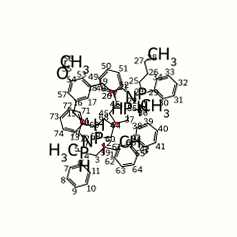 CCCC[PH](C)(c1ccccc1)N(CCCc1cc(CCCN([PH](C)(CCCC)c2ccccc2)[PH]2(I)[C@H](c3ccccc3)CC[C@H]2c2ccccc2)cc(OC)c1)[PH]1(I)[C@@H](c2ccccc2)CC[C@@H]1c1ccccc1